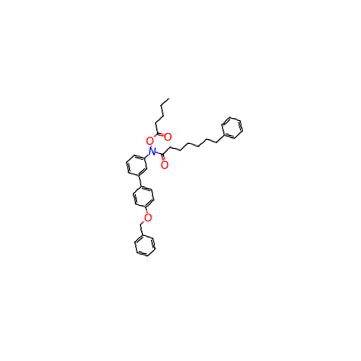 CCCCC(=O)ON(C(=O)CCCCCCc1ccccc1)c1cccc(-c2ccc(OCc3ccccc3)cc2)c1